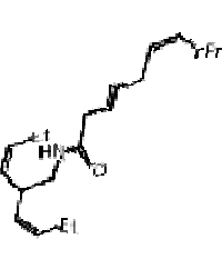 CC/C=C\C(/C=C\CC)CNC(=O)CC=CC/C=C\CCC